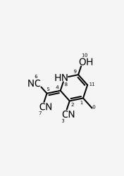 CC1=C(C#N)C(=C(C#N)C#N)NC(O)=C1